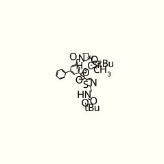 CC(C)(C)OC(=O)NCc1ncc(S(=O)(=O)c2cc(C(=O)N3CC[C@@H](O[Si](C)(C)C(C)(C)C)C3)cc(-c3ccccc3)c2)s1